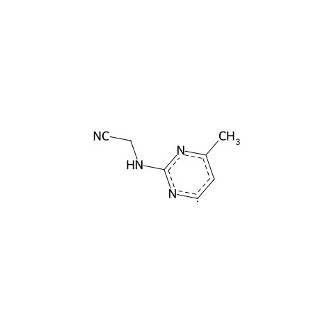 Cc1c[c]nc(NCC#N)n1